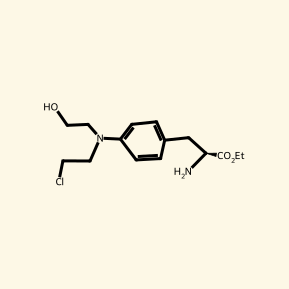 CCOC(=O)[C@@H](N)Cc1ccc(N(CCO)CCCl)cc1